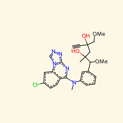 C#CC(O)(COC)CC(C)(O)C(OC)c1cccc(N(C)c2nc3nncn3c3cc(Cl)ccc23)c1